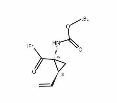 C=C[C@@H]1C[C@]1(NC(=O)OC(C)(C)C)C(=O)C(C)C